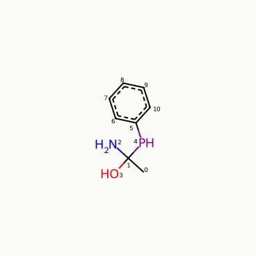 CC(N)(O)Pc1ccccc1